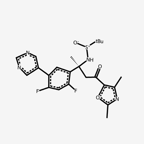 Cc1nc(C)c(C(=O)C[C@](C)(N[S+]([O-])C(C)(C)C)c2cc(-c3cncnc3)c(F)cc2F)o1